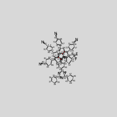 N#Cc1ccc(-c2ccc3c(c2)c2cc(-c4ccc(C#N)cc4)ccc2n3-c2ccc(-c3nc(-c4ccccc4)nc(-c4ccccc4)n3)cc2-c2ccc(C(F)(F)F)cc2-n2c3ccc(-c4ccc(C#N)cc4)cc3c3cc(-c4ccc(C#N)cc4)ccc32)cc1